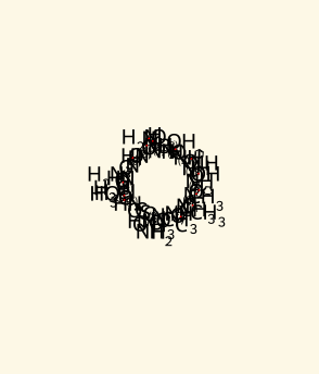 CCCC[C@H]1C(=O)N(C)[C@@H](CCCC)C(=O)N[C@@H](C)C(=O)N[C@H](C(=O)NCC(N)=O)CSCC(=O)N[C@@H](Cc2ccc(O)cc2)C(=O)N(C)[C@@H](C)C(=O)N[C@@H](CC(N)=O)C(=O)N2CCC[C@H]2C(=O)N[C@@H](Cc2cnc[nH]2)C(=O)N[C@@H](CCC(N)=O)C(=O)N2C[C@H](O)C[C@H]2C(=O)N[C@@H](Cc2c[nH]c3ccccc23)C(=O)N[C@@H](CO)C(=O)N[C@@H](Cc2cccc3ccccc23)C(=O)N1C